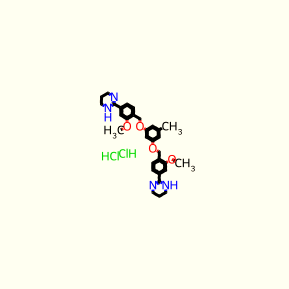 COc1cc(C2=NCCCN2)ccc1COc1cc(C)cc(OCc2ccc(C3=NCCCN3)cc2OC)c1.Cl.Cl